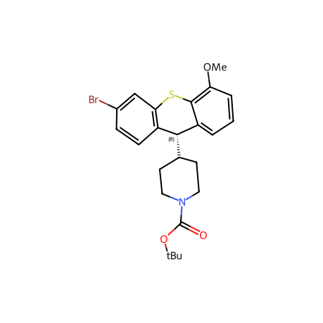 COc1cccc2c1Sc1cc(Br)ccc1[C@H]2C1CCN(C(=O)OC(C)(C)C)CC1